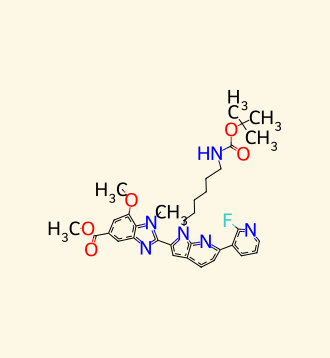 COC(=O)c1cc(OC)c2c(c1)nc(-c1cc3ccc(-c4cccnc4F)nc3n1CCCCCCNC(=O)OC(C)(C)C)n2C